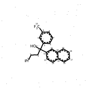 CC(C)C[CH]C(O)(c1cccc(C(F)(F)F)c1)c1ccc2ccccc2c1